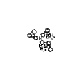 CC1(C)c2ccccc2-c2ccc(N(c3cccc(-c4cccc5c4C(C)(C)c4ccccc4-5)c3)c3ccc4c(c3)C3(CCCCC3)c3ccccc3-4)cc21